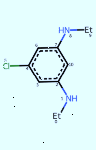 CCNc1cc(Cl)cc(NCC)c1